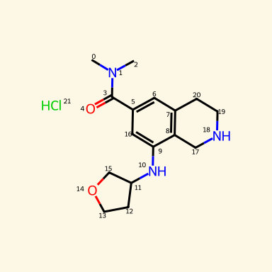 CN(C)C(=O)c1cc2c(c(NC3CCOC3)c1)CNCC2.Cl